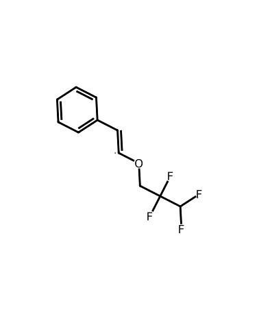 FC(F)C(F)(F)CO/[C]=C/c1ccccc1